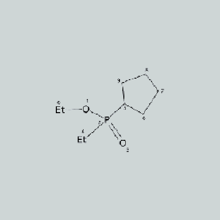 CCOP(=O)(CC)C1CCCC1